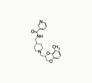 Cc1cccc2c1OC(CN1CCC(CNC(=O)c3cccnc3)CC1)CO2